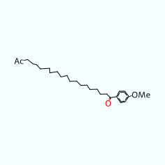 COc1ccc(C(=O)CCCCCCCCCCCCCCCCCC(C)=O)cc1